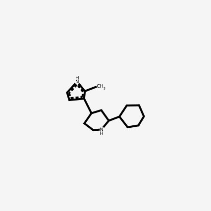 Cc1[nH]ccc1C1CCNC(C2CCCCC2)C1